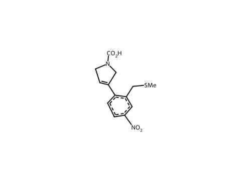 CSCc1cc([N+](=O)[O-])ccc1C1=CCN(C(=O)O)C1